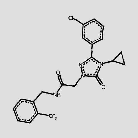 O=C(Cn1nc(-c2cccc(Cl)c2)n(C2CC2)c1=O)NCc1ccccc1C(F)(F)F